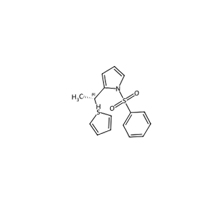 C[C@H](c1cccn1S(=O)(=O)c1ccccc1)[SH]1C=CC=C1